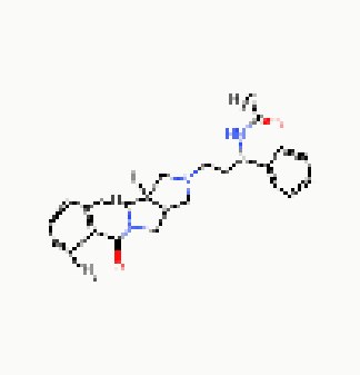 CC(=O)NC(CCN1CC2CN(C(=O)c3c(C)cccc3C)C[C@@H]2C1)c1ccccc1